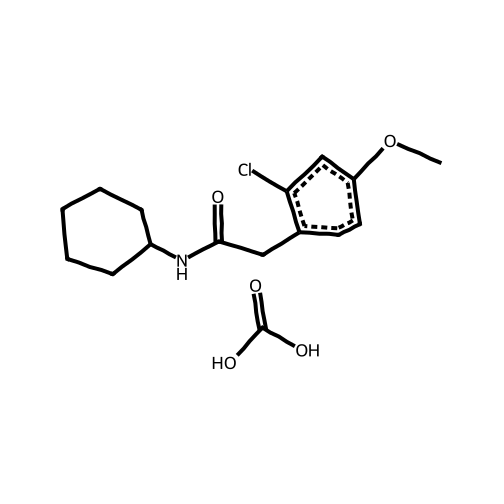 COc1ccc(CC(=O)NC2CCCCC2)c(Cl)c1.O=C(O)O